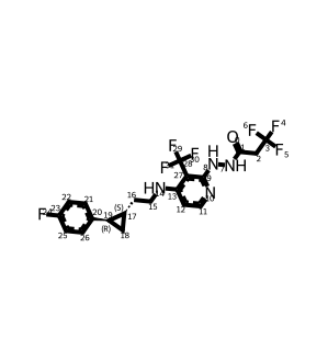 O=C(CC(F)(F)F)NNc1nccc(NCC[C@@H]2C[C@H]2c2ccc(F)cc2)c1C(F)(F)F